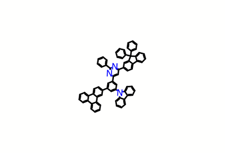 c1ccc(-c2nc(-c3cc(-c4ccc5c6ccccc6c6ccccc6c5c4)cc(-n4c5ccccc5c5ccccc54)c3)cc(-c3ccc4c(c3)C(c3ccccc3)(c3ccccc3)c3ccccc3-4)n2)cc1